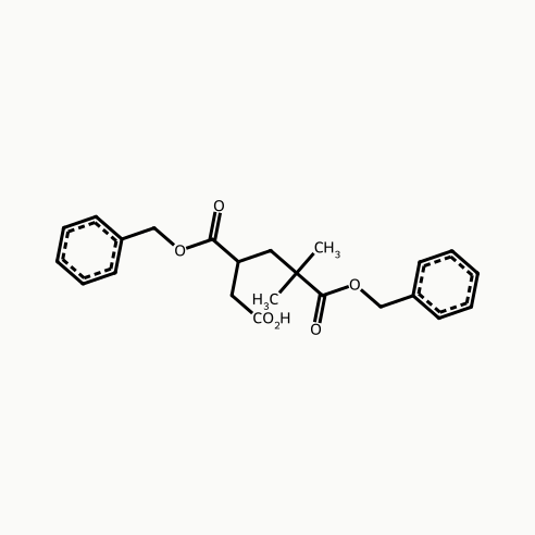 CC(C)(CC(CC(=O)O)C(=O)OCc1ccccc1)C(=O)OCc1ccccc1